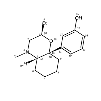 CC[C@@H]1CN(C)[C@H]2CCCC[C@@]2(c2cccc(O)c2)O1